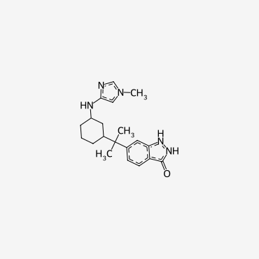 Cn1cnc(NC2CCCC(C(C)(C)c3ccc4c(=O)[nH][nH]c4c3)C2)c1